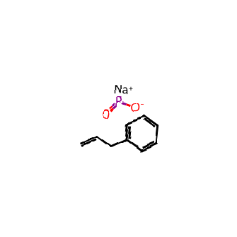 C=CCc1ccccc1.O=P[O-].[Na+]